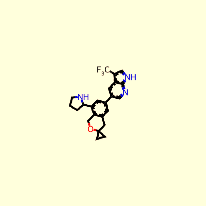 FC(F)(F)c1c[nH]c2ncc(-c3cc4c(c(C5CCCN5)c3)COC3(CC3)C4)cc12